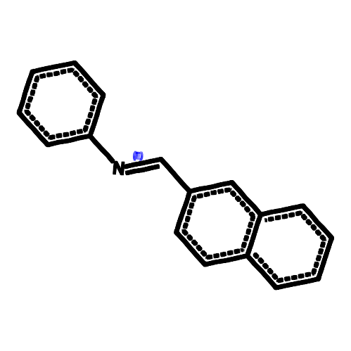 C(=N\c1ccccc1)/c1ccc2ccccc2c1